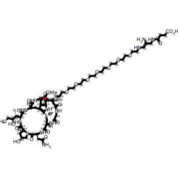 CC[C@H](C)[C@@H]1NC(=O)CNC(=O)[C@@H]2Cc3c([nH]c4c(CSCCOCCOCCOCCOCCOCCOCCOCCN/C=C(\N)CNC(=O)CCC(=O)O)c(OC)ccc34)[S+]([O-])C[C@@H](NC(=O)CNC1=O)C(=O)N[C@@H](CC(N)=O)C(=O)N1C[C@H](O)C[C@H]1C(=O)N[C@@H]([C@@H](C)[C@@H](O)CO)C(=O)N2